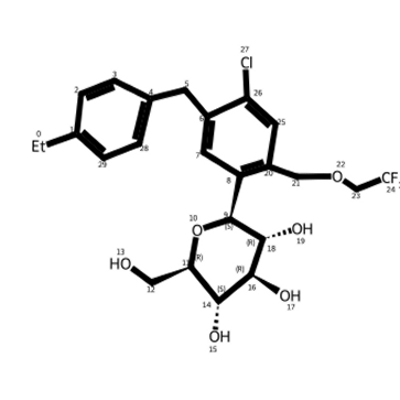 CCc1ccc(Cc2cc([C@@H]3O[C@H](CO)[C@@H](O)[C@H](O)[C@H]3O)c(COCC(F)(F)F)cc2Cl)cc1